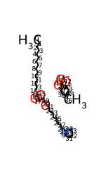 CCCCCCCCCCCCCCC[C@H]1OC[C@H](COCCCCCCCC[n+]2ccccc2)O1.Cc1ccc(S(=O)(=O)[O-])cc1